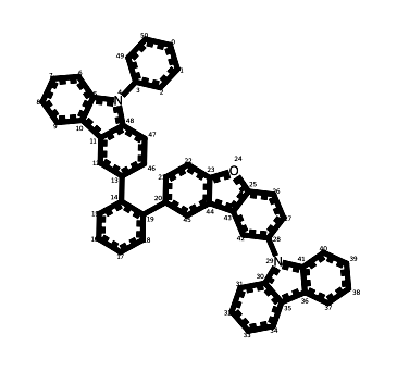 c1ccc(-n2c3ccccc3c3cc(-c4ccccc4-c4ccc5oc6ccc(-n7c8ccccc8c8ccccc87)cc6c5c4)ccc32)cc1